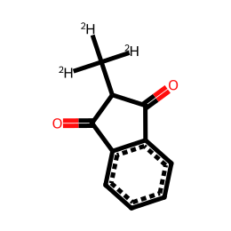 [2H]C([2H])([2H])C1C(=O)c2ccccc2C1=O